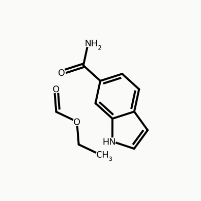 CCOC=O.NC(=O)c1ccc2cc[nH]c2c1